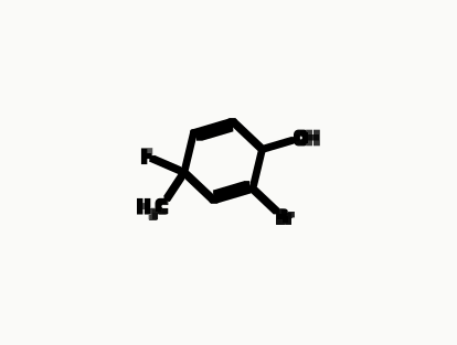 CC1(F)C=CC(O)C(Br)=C1